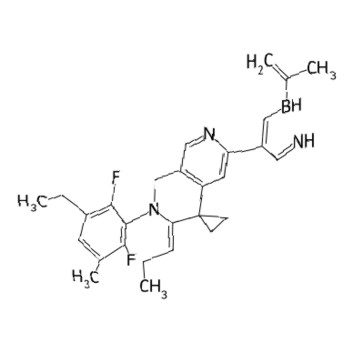 C=C(C)B/C=C(\C=N)c1cc2c(cn1)CN(c1c(F)c(C)cc(CC)c1F)/C(=C\CC)C21CC1